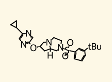 CC(C)(C)c1cccc(S(=O)(=O)N2CCN3C[C@H](Oc4cnc(C5CC5)cn4)C[C@H]3C2)c1